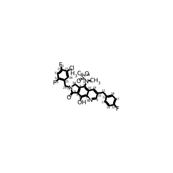 CN(c1c2c(c(O)c3ncc(Cc4ccc(F)cc4)cc13)C(=O)N(Cc1cc(Cl)c(F)cc1F)C2)S(C)(=O)=O